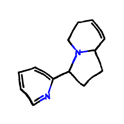 C1=CC2CCC(c3ccccn3)N2CC1